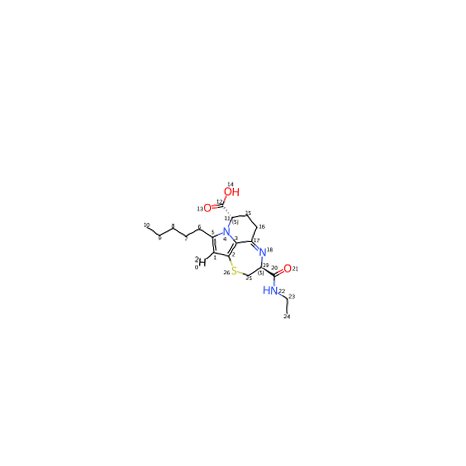 [2H]c1c2c3n(c1CCCCC)[C@H](C(=O)O)CCC3=N[C@@H](C(=O)NCC)CS2